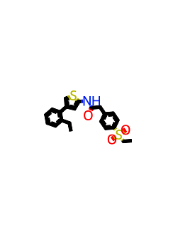 CCc1ccccc1-c1csc(NC(=O)Cc2ccc(S(=O)(=O)CC)cc2)c1